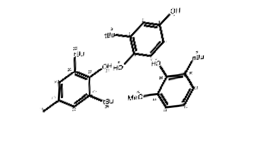 CC(C)(C)c1cc(O)ccc1O.CCCCc1cccc(OC)c1O.Cc1cc(C(C)(C)C)c(O)c(C(C)(C)C)c1